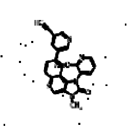 C#Cc1cncc(-c2ccc3ncc4c(c3c2)n(-c2cccnc2OC)c(=O)n4C)c1